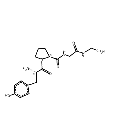 N[C@@H](Cc1ccc(O)cc1)C(=O)N1CCC[C@H]1C(=O)NCC(=O)NCC(=O)O